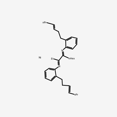 CCC/C=C/CCc1ccccc1/N=C(CC)/C(CCCCCC)=N/c1ccccc1CC/C=C/CCC.[Ni]